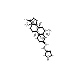 C[C@H]1C[C@H]2[C@@H]3CCC(=O)[C@@]3(C)CC[C@@H]2[C@@]2(C)CC/C(=N\O[C@H]3CCNC3)C[C@]12O